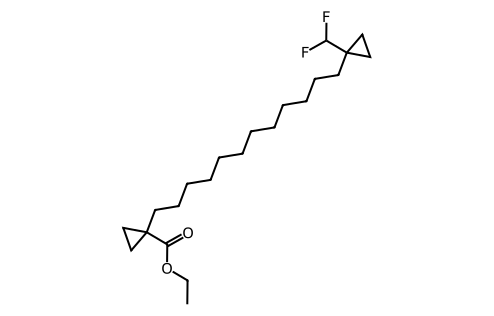 CCOC(=O)C1(CCCCCCCCCCCCC2(C(F)F)CC2)CC1